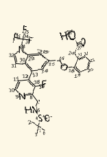 CC(C)(C)[S@+]([O-])NCc1nccc(-c2cc(COc3ccccc3CC(=O)O)cc3c2ccn3C(F)(F)F)c1F